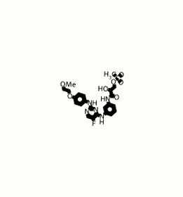 COCCOc1ccc(Nc2ncc(F)c(Nc3cccc(NC(=O)C(O)COS(C)(=O)=O)c3)n2)cc1